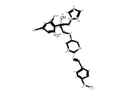 C[C@@H](S[C@H]1CO[C@H](/C=C/c2ccc(OC(F)(F)F)cc2)OC1)[C@](O)(Cn1cncn1)c1ccc(F)cc1F